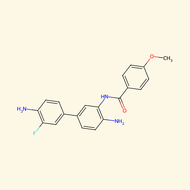 COc1ccc(C(=O)Nc2cc(-c3ccc(N)c(F)c3)ccc2N)cc1